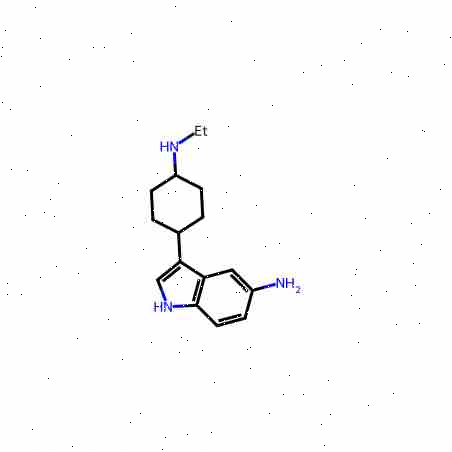 CCNC1CCC(c2c[nH]c3ccc(N)cc23)CC1